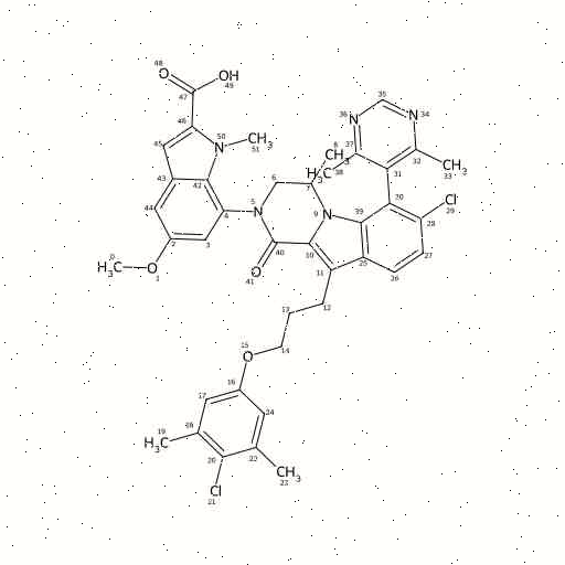 COc1cc(N2CC(C)n3c(c(CCCOc4cc(C)c(Cl)c(C)c4)c4ccc(Cl)c(-c5c(C)ncnc5C)c43)C2=O)c2c(c1)cc(C(=O)O)n2C